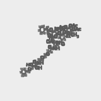 CCC1CC(C(=O)NCCNC(=O)CCOCCOCCNC(=O)[C@@H](O)[C@H](O)COCc2ccccc2)C[C@@H](O[C@@H]2OC(COC(C)=O)[C@@H]3OC[C@@H](CC4CCCCC4)OC3C2NC(C)=O)C1O[C@@H]1OC(C)[C@@H](OC(C)=O)C(OC(C)=O)C1OC(C)=O